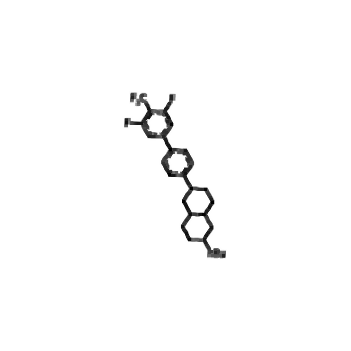 CCCCC1CCC2CC(c3ccc(-c4cc(F)c(C(F)(F)F)c(F)c4)cc3)CCC2C1